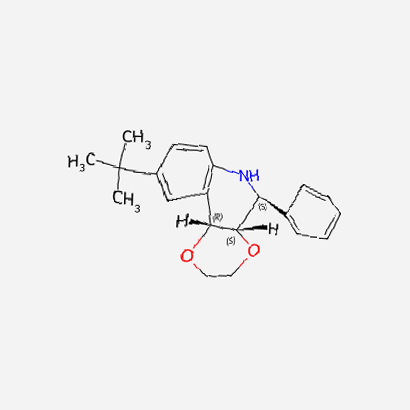 CC(C)(C)c1ccc2c(c1)[C@H]1OCCO[C@H]1[C@H](c1ccccc1)N2